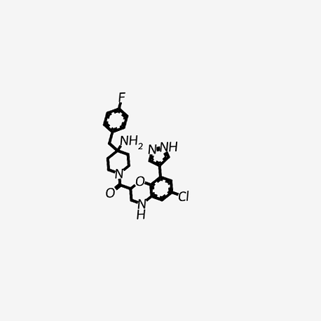 NC1(Cc2ccc(F)cc2)CCN(C(=O)C2CNc3cc(Cl)cc(-c4cn[nH]c4)c3O2)CC1